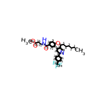 CCCCCCC(Oc1ccc(C(=O)NCCC(=O)OC)cc1)c1ccc(-c2ccc(C(F)(F)F)cc2)nc1